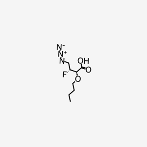 CCCCO[C@H](C(=O)O)[C@H](F)CN=[N+]=[N-]